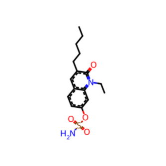 CCCCCc1cc2ccc(OS(N)(=O)=O)cc2n(CC)c1=O